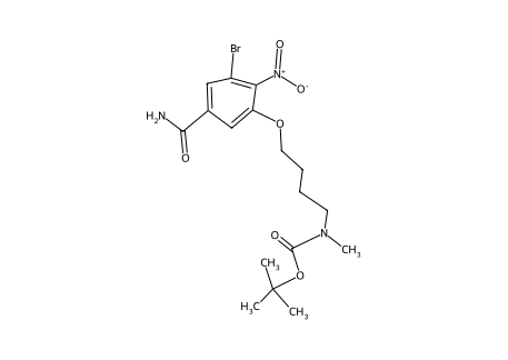 CN(CCCCOc1cc(C(N)=O)cc(Br)c1[N+](=O)[O-])C(=O)OC(C)(C)C